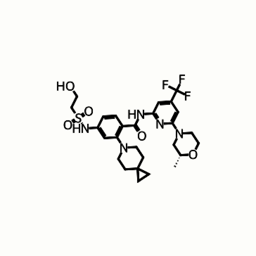 C[C@@H]1CN(c2cc(C(F)(F)F)cc(NC(=O)c3ccc(NS(=O)(=O)CCO)cc3N3CCC4(CC3)CC4)n2)CCO1